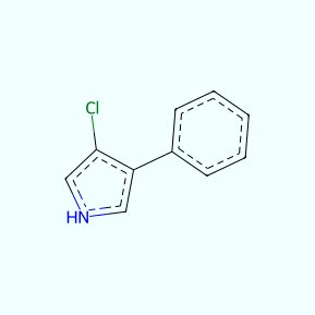 Clc1c[nH]cc1-c1ccccc1